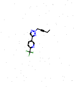 CCC#CCn1ncc(-c2ccc(C(F)(F)F)nc2)n1